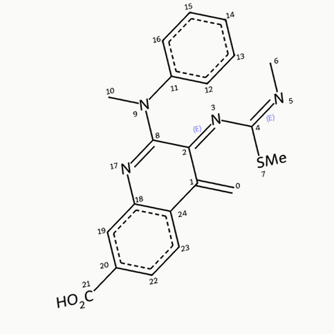 C=C1/C(=N\C(=N/C)SC)C(N(C)c2ccccc2)=Nc2cc(C(=O)O)ccc21